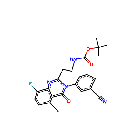 Cc1ccc(F)c2nc(CCNC(=O)OC(C)(C)C)n(-c3cccc(C#N)c3)c(=O)c12